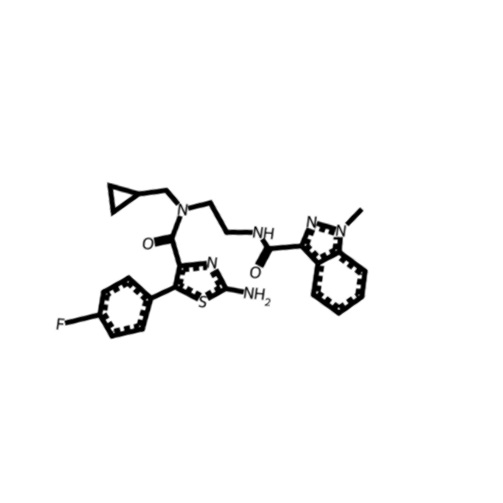 Cn1nc(C(=O)NCCN(CC2CC2)C(=O)c2nc(N)sc2-c2ccc(F)cc2)c2ccccc21